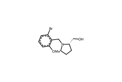 COc1cccc(Br)c1CN1CCC[C@H]1CO